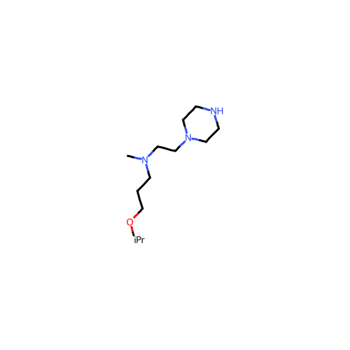 CC(C)OCCCN(C)CCN1CCNCC1